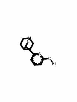 CCOc1cccc(C2CN3CCC2CC3)n1